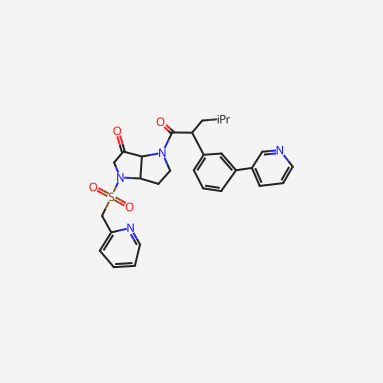 CC(C)CC(C(=O)N1CCC2C1C(=O)CN2S(=O)(=O)Cc1ccccn1)c1cccc(-c2cccnc2)c1